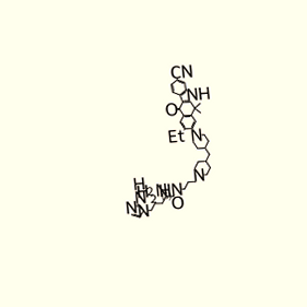 CCc1cc2c(cc1N1CCC(CC3CCN(CCCNC(=O)[C@@H](N)CCCn4ccnc4N)CC3)CC1)C(C)(C)c1[nH]c3cc(C#N)ccc3c1C2=O